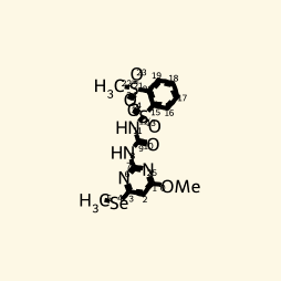 COc1cc([Se]C)nc(NC(=O)NS(=O)(=O)c2ccccc2S(C)(=O)=O)n1